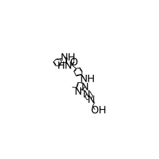 Cc1cc(Nc2ccc(C(=O)Nc3c[nH]c4ccccc34)cc2)nc(N2CCN(CCO)CC2)n1